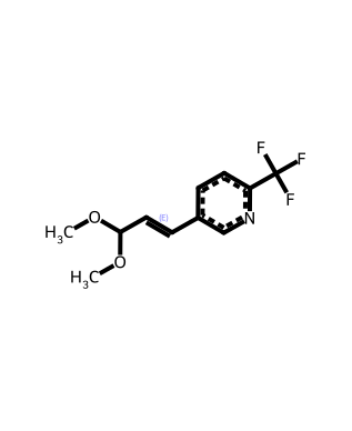 COC(/C=C/c1ccc(C(F)(F)F)nc1)OC